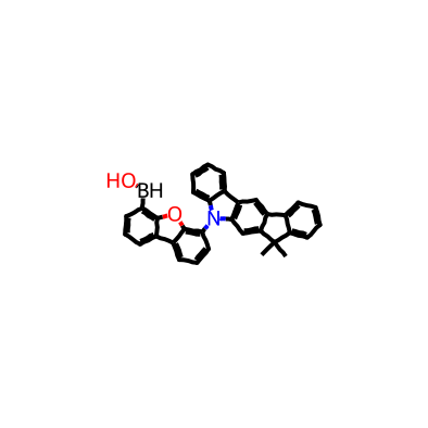 CC1(C)c2ccccc2-c2cc3c4ccccc4n(-c4cccc5c4oc4c(BO)cccc45)c3cc21